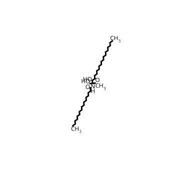 CCCCCCCCCCCCCCCCCC(=O)NC(CC)(CO)C(O)C(=O)CCCCCCCCCCCCCCCCC